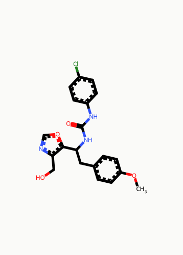 COc1ccc(CC(NC(=O)Nc2ccc(Cl)cc2)c2ocnc2CO)cc1